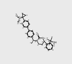 C[C@@H](c1ccc(-c2ccc(C3([SH](=O)=O)CC3)nc2)cc1)N1CC[C@](CC(C)(C)O)(c2ccccc2)OC1=O